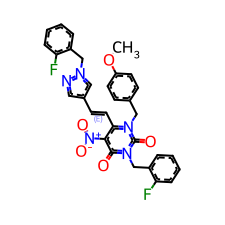 COc1ccc(Cn2c(/C=C/c3cnn(Cc4ccccc4F)c3)c([N+](=O)[O-])c(=O)n(Cc3ccccc3F)c2=O)cc1